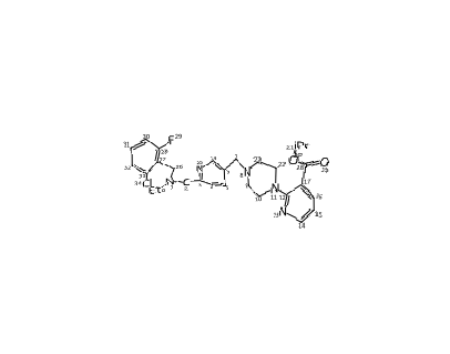 CCN(Cc1ccc(CN2CCN(c3ncccc3C(=O)OC(C)C)CC2)cn1)Cc1c(F)cccc1Cl